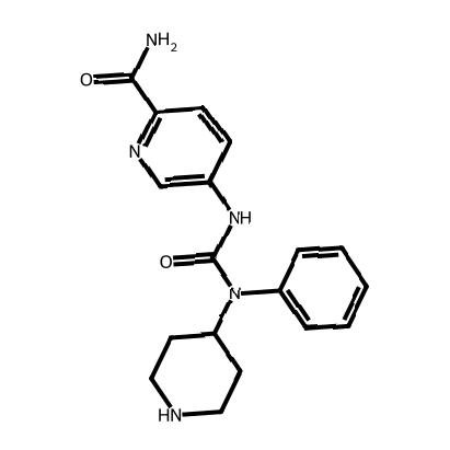 NC(=O)c1ccc(NC(=O)N(c2ccccc2)C2CCNCC2)cn1